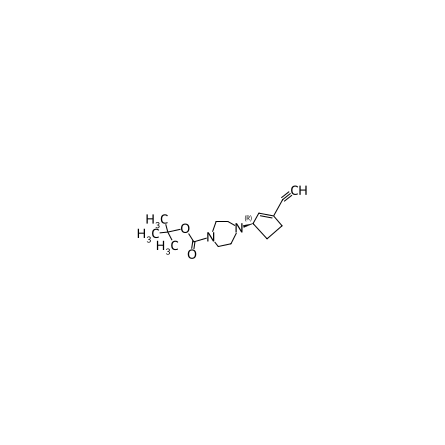 C#CC1=C[C@H](N2CCN(C(=O)OC(C)(C)C)CC2)CC1